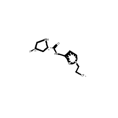 O=C(Nc1ccn(CCC(F)(F)F)n1)[C@@H]1C[C@@H](F)CN1